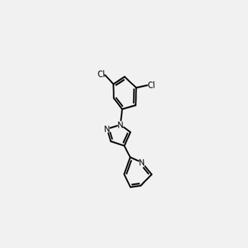 Clc1cc(Cl)cc(-n2cc(-c3ccccn3)cn2)c1